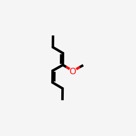 CC/C=C\C(=C/CC)OC